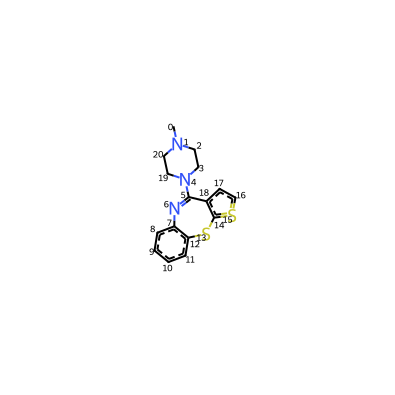 CN1CCN(C2=Nc3ccccc3Sc3sccc32)CC1